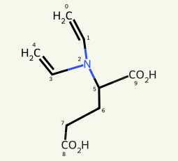 C=CN(C=C)C(CCC(=O)O)C(=O)O